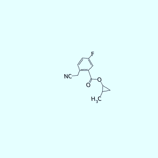 CC1CC1OC(=O)c1cc(F)ccc1CC#N